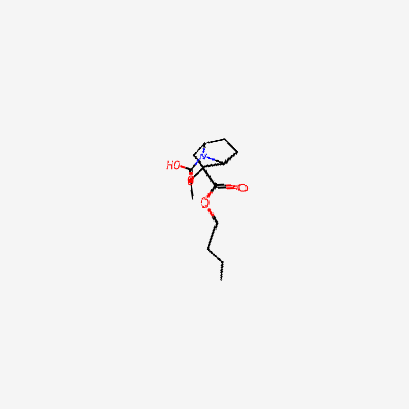 CCCCOC(=O)C1(CC)CC2CCC1N2C(=O)O